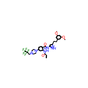 C=CC(=O)Nc1cc(N2CCN(CC(F)(F)C(F)(F)F)CC2)ccc1C(=O)Nc1cc(CCc2cc(OC)cc(OC)c2)n[nH]1